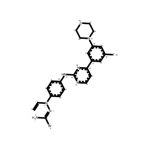 C=CN(/N=C(\N)Br)c1ccc(Nc2nccc(-c3cc(F)cc(N4CCOCC4)c3)n2)cc1